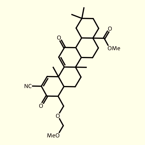 COCOCC1C(=O)C(C#N)=CC2(C)C3=CC(=O)C4C(CCC5(C(=O)OC)CCC(C)(C)CC45)C3(C)CCC12